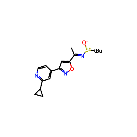 C/C(=N\[S+]([O-])C(C)(C)C)c1cc(-c2ccnc(C3CC3)c2)no1